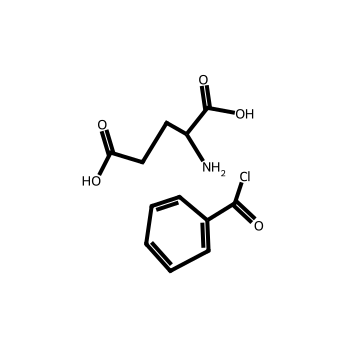 NC(CCC(=O)O)C(=O)O.O=C(Cl)c1ccccc1